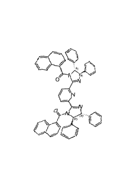 O=C(c1cccc2ccccc12)N1C(c2cccc(C3=N[C@H](c4ccccc4)[C@@H](c4ccccc4)N3C(=O)c3cccc4ccccc34)n2)=N[C@H](c2ccccc2)[C@H]1c1ccccc1